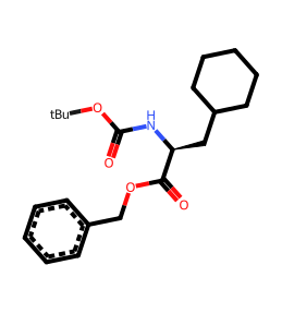 CC(C)(C)OC(=O)N[C@@H](CC1CCCCC1)C(=O)OCc1ccccc1